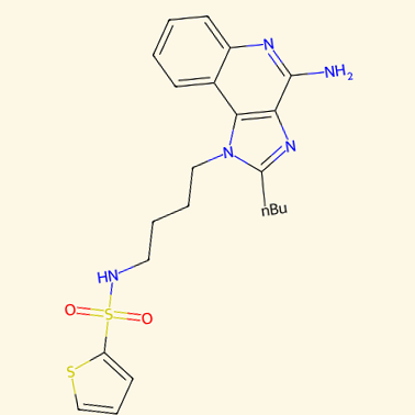 CCCCc1nc2c(N)nc3ccccc3c2n1CCCCNS(=O)(=O)c1cccs1